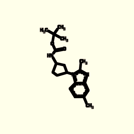 Cc1ccc2c(c1)nc(C)n2C1CCC(NC(=O)OC(C)(C)C)C1